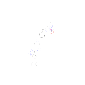 Cc1nc(NC2CCN(Cc3ccc4c(cc(C)n4C[C@H](C)N4C5CCC4CN(S(C)(=O)=O)C5)c3C)CC2)c2cc(CC(F)(F)F)sc2n1